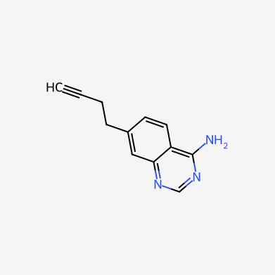 C#CCCc1ccc2c(N)ncnc2c1